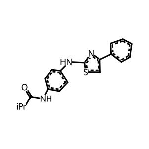 CC(C)C(=O)Nc1ccc(Nc2nc(-c3ccccc3)cs2)cc1